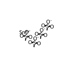 CS(=O)(=O)[O-].CS(=O)(=O)[O-].CS(=O)(=O)[O-].CS(=O)(=O)[O-].[Sn+4]